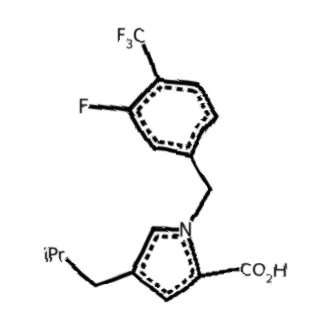 CC(C)Cc1cc(C(=O)O)n(Cc2ccc(C(F)(F)F)c(F)c2)c1